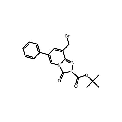 CC(C)(C)OC(=O)n1nc2c(CBr)cc(-c3ccccc3)cn2c1=O